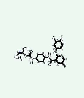 C/C=C(/C)OC(=O)N[C@H]1CC[C@@H](NC(=O)c2cc(F)cnc2Oc2ccc(F)c(F)c2)CC1